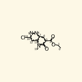 CCOC(=O)c1cc2nnc(Cl)cc2n(C)c1=O